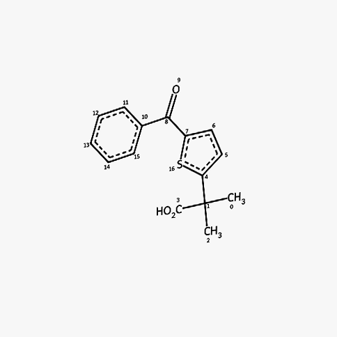 CC(C)(C(=O)O)c1ccc(C(=O)c2ccccc2)s1